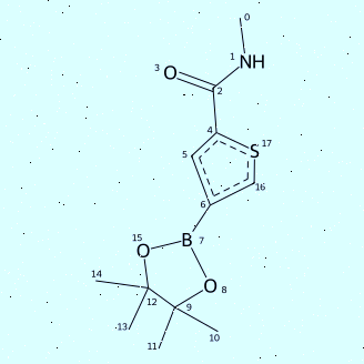 CNC(=O)c1cc(B2OC(C)(C)C(C)(C)O2)cs1